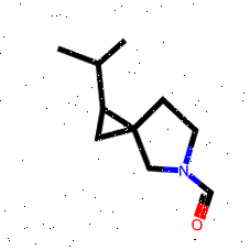 CC(C)C1CC12CCN(C=O)C2